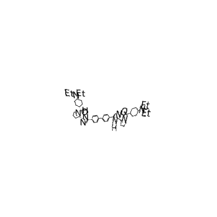 CCN(CC)C1CCC(C(=O)N2CCCC2c2ncc(-c3ccc(-c4ccc(-c5cnc(C6CCCN6C(=O)[C@H]6CC[C@@H](N(CC)CC)CC6)[nH]5)cc4)cc3)[nH]2)CC1